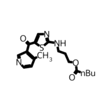 CCCCC(=O)OCCCNc1ncc(C(=O)c2cnccc2C)s1